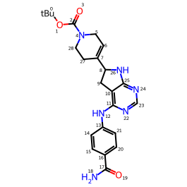 CC(C)(C)OC(=O)N1CC=C(C2Cc3c(Nc4ccc(C(N)=O)cc4)ncnc3N2)CC1